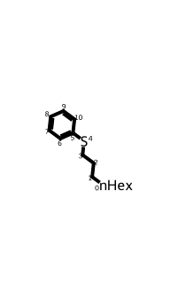 C[CH]CCCCCCCSc1ccccc1